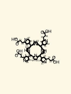 O=C(O)CCc1cc(-c2c3nc(c(-c4ccnc(CCC(=O)O)c4)c4ccc([nH]4)c(-c4ccnc(CCC(=O)O)c4)c4nc(c(-c5ccnc(CCC(=O)O)c5)c5ccc2[nH]5)C=C4)C=C3)ccn1